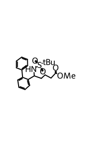 COC(=O)CCCC(NS(=O)(=O)C(C)(C)C)c1ccccc1-c1ccccc1